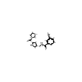 O=C(NC[C@@H]1CN[C@H](C(=O)N2CCSC2)C1)c1cccc(Br)c1